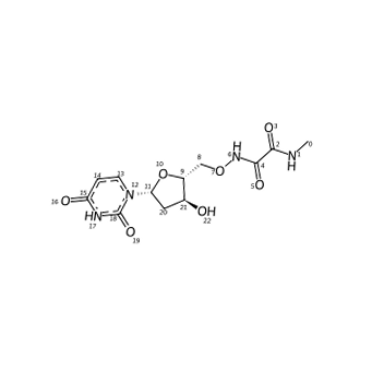 CNC(=O)C(=O)NOC[C@H]1O[C@@H](n2ccc(=O)[nH]c2=O)C[C@@H]1O